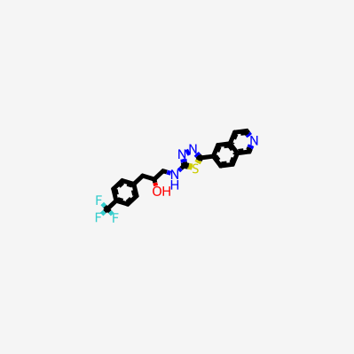 OC(CNc1nnc(-c2ccc3cnccc3c2)s1)Cc1ccc(C(F)(F)F)cc1